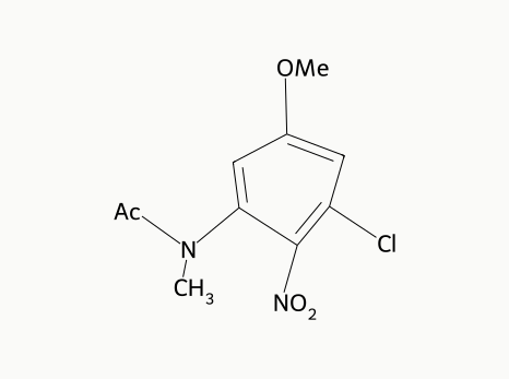 COc1cc(Cl)c([N+](=O)[O-])c(N(C)C(C)=O)c1